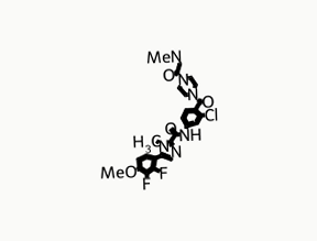 CNCC(=O)N1CCN(C(=O)c2ccc(NC(=O)c3ncc(-c4ccc(OC)c(F)c4F)n3C)cc2Cl)CC1